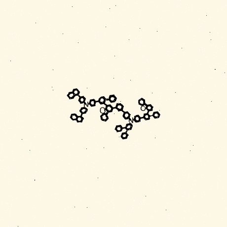 c1ccc(-c2ccc(N(c3ccc(-c4cccc(-c5cc(-c6cc(-c7ccc(N(c8ccc(-c9cccc%10ccccc9%10)cc8)c8ccc(-c9cccc%10ccccc9%10)cc8)cc7)ccc6-c6ccccc6)c6oc7ccccc7c6c5)c4)cc3)c3ccc(-c4ccc(-c5ccccc5)c(-c5cccc6c5oc5ccccc56)c4)cc3)cc2-c2ccccc2)cc1